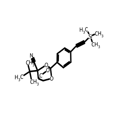 CC(C)(C)C1(C#N)OC2(c3ccc(C#C[Si](C)(C)C)cc3)OCC1CO2